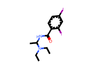 CCN(CC)C(C)NC(=O)c1ccc(I)cc1I